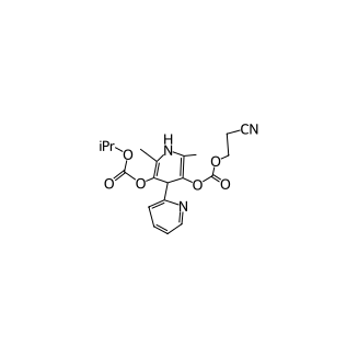 CC1=C(OC(=O)OCCC#N)C(c2ccccn2)C(OC(=O)OC(C)C)=C(C)N1